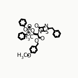 COc1ccc(COC(=O)C(=C(C)OP(=O)(Oc2ccccc2)Oc2ccccc2)N2C(=O)C3N=C(Cc4ccccc4)SC32)cc1